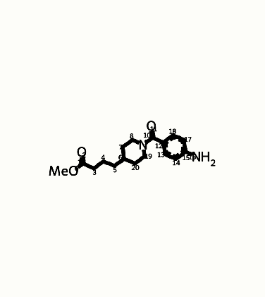 COC(=O)CCCC1CCN(C(=O)c2ccc(N)cc2)CC1